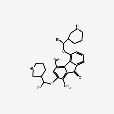 CCC(Oc1cc(OC)c2c(c1N)C(=O)c1cccc(OC(CC)C3CCCNC3)c1-2)C1CCCNC1